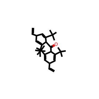 C=CC1C=C(C(C)(C)C)C(C(=O)C2C(C(C)(C)C)=CC(C=C)C=C2C(C)(C)C)C(C(C)(C)C)=C1